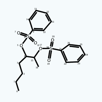 CCCCC(OS(=O)(=O)c1ccccc1)C(C)OS(=O)(=O)c1ccccc1